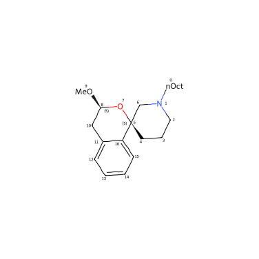 CCCCCCCCN1CCC[C@]2(C1)O[C@H](OC)Cc1ccccc12